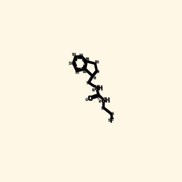 O=C(NCCF)NCC1CCc2ccccc21